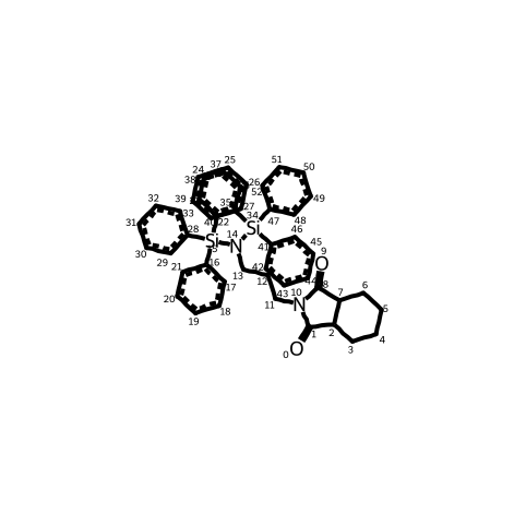 O=C1C2CCCCC2C(=O)N1CCCN([Si](c1ccccc1)(c1ccccc1)c1ccccc1)[Si](c1ccccc1)(c1ccccc1)c1ccccc1